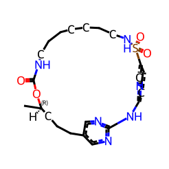 C[C@@H]1CCCc2cnc(nc2)Nc2ccc(cn2)S(=O)(=O)NCCCCCCCNC(=O)O1